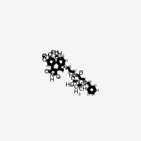 COc1cc(C2=C(c3cn(CCCNC(=O)C(COCc4ccccc4)N(C(=O)O)C(C)(C)C)c4ccccc34)C(=O)NC2=O)cc(OC)c1OC